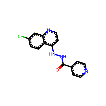 O=C(NNc1ccnc2cc(Cl)ccc12)c1ccncc1